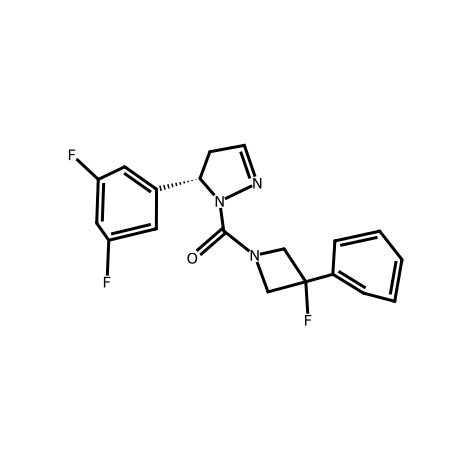 O=C(N1CC(F)(c2ccccc2)C1)N1N=CC[C@H]1c1cc(F)cc(F)c1